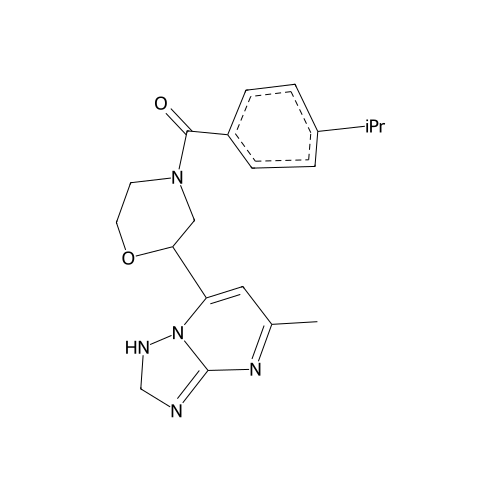 CC1=NC2=NCNN2C(C2CN(C(=O)c3ccc(C(C)C)cc3)CCO2)=C1